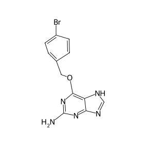 Nc1nc(OCc2ccc(Br)cc2)c2[nH]cnc2n1